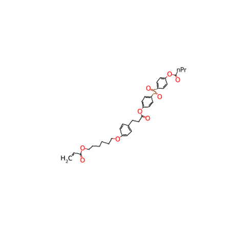 C=CC(=O)OCCCCCCOc1ccc(CCC(=O)Oc2ccc(S(=O)(=O)c3ccc(OC(=O)CCC)cc3)cc2)cc1